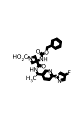 C[C@H](NC(=O)C1(NC(=O)OCc2ccccc2)CN(C(=O)O)C1)c1ccc(-n2cc(F)cn2)nc1